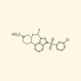 O=C(O)N1CCC(c2cccc3c2c(C(F)F)cn3S(=O)(=O)c2cccc(Cl)c2)CC1